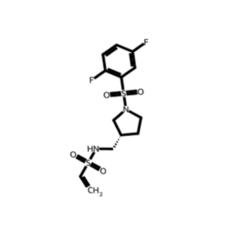 C=CS(=O)(=O)NC[C@H]1CCN(S(=O)(=O)c2cc(F)ccc2F)C1